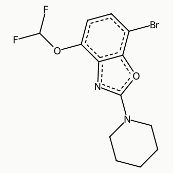 FC(F)Oc1ccc(Br)c2oc(N3CCCCC3)nc12